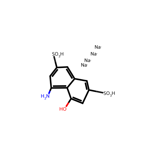 Nc1cc(S(=O)(=O)O)cc2cc(S(=O)(=O)O)cc(O)c12.[Na].[Na].[Na].[Na]